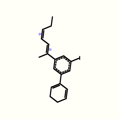 CC/C=C\C=C(/C)c1cc(I)cc(C2=CCCC=C2)c1